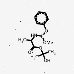 COP(NC(C)C(=O)OC(C)(C)O)Oc1ccccc1